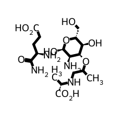 CC(CN[C@@H](C)C(=O)O)O[C@@H]1[C@@H](N)[C@@H](O)O[C@H](CO)[C@H]1O.NC(=O)[C@H](N)CCC(=O)O